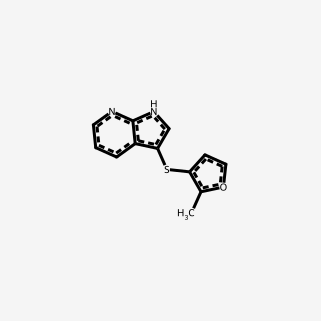 Cc1occc1Sc1c[nH]c2ncccc12